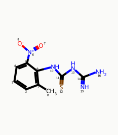 Cc1cccc([N+](=O)[O-])c1NC(=S)NC(=N)N